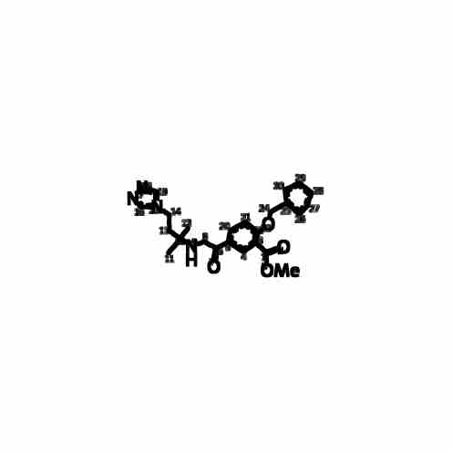 COC(=O)c1cc(C(=O)CNC(C)(C)CCn2cnnc2)ccc1OCc1ccccc1